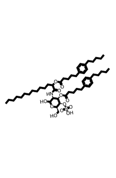 CCCCCCCCCCCCC(OC(=O)CCCCc1ccc(CCCCC)cc1)C(=O)N[C@H]1C(O)O[C@H](CO)[C@@H](OS(=O)(=O)O)[C@@H]1OC(=O)CCCCc1ccc(CCCCC)cc1